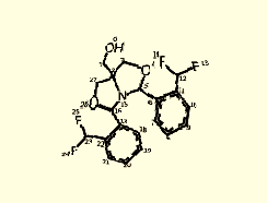 OCC12COC(c3ccccc3C(F)F)N1C(c1ccccc1C(F)F)OC2